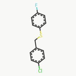 Fc1ccc(SCc2ccc(Cl)cc2)cc1